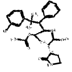 CC(OC(N)=O)C(NC(C=O)C[C@@H]1CCNC1=O)C(c1ccccc1)C(C)(C)c1cccc(Cl)c1